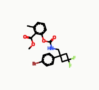 COC(=O)c1c(C)cccc1OC(=O)NCC1(c2ccc(Br)cc2)CC(F)(F)C1